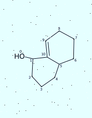 OC1CCCC2CCCC=C12